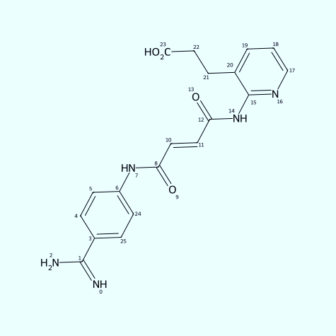 N=C(N)c1ccc(NC(=O)/C=C/C(=O)Nc2ncccc2CCC(=O)O)cc1